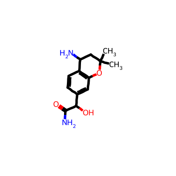 CC1(C)CC(N)c2ccc(C(O)C(N)=O)cc2O1